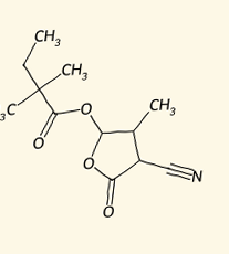 CCC(C)(C)C(=O)OC1OC(=O)C(C#N)C1C